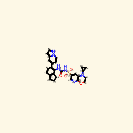 O=C(Nc1c(-c2ccn3nccc3c2)ccc2c1CCC2)NS(=O)(=O)c1cnc2c(c1)N(C1CC1)CCO2